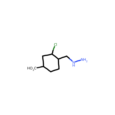 NNCC1CCC(C(=O)O)CC1Cl